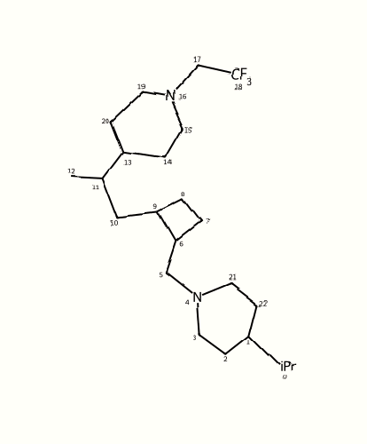 CC(C)C1CCN(CC2CCC2CC(C)C2CCN(CC(F)(F)F)CC2)CC1